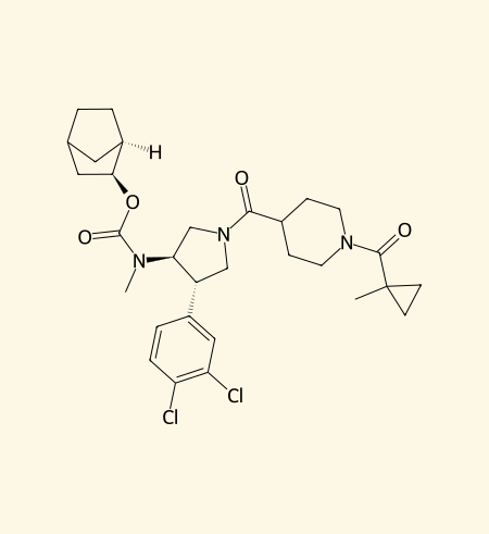 CN(C(=O)O[C@H]1CC2CC[C@@H]1C2)[C@H]1CN(C(=O)C2CCN(C(=O)C3(C)CC3)CC2)C[C@@H]1c1ccc(Cl)c(Cl)c1